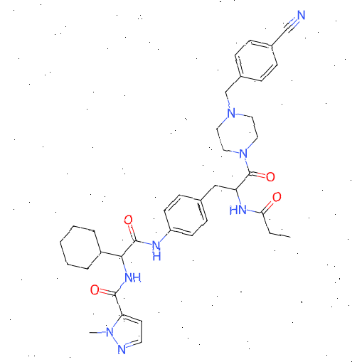 CCC(=O)NC(Cc1ccc(NC(=O)C(NC(=O)c2ccnn2C)C2CCCCC2)cc1)C(=O)N1CCN(Cc2ccc(C#N)cc2)CC1